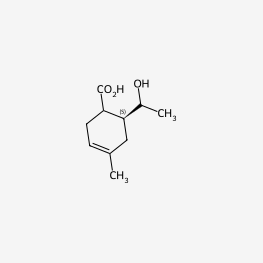 CC1=CCC(C(=O)O)[C@@H](C(C)O)C1